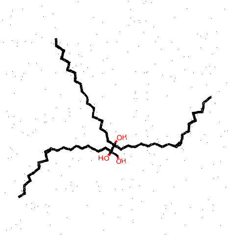 CCCCCCCC/C=C\CCCCCCCCC(O)(CO)C(O)(CCCCCCCC/C=C\CCCCCCCC)CCCCCCCCCCCCCCCCCC